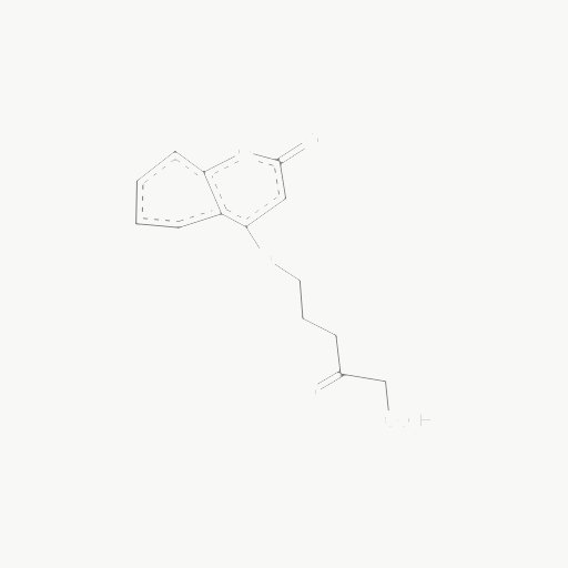 O=C(O)CC(=O)CCCOc1cc(=O)oc2ccccc12